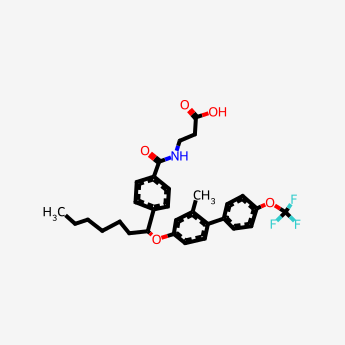 CCCCCCC(Oc1ccc(-c2ccc(OC(F)(F)F)cc2)c(C)c1)c1ccc(C(=O)NCCC(=O)O)cc1